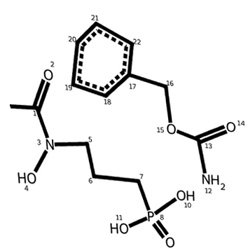 CC(=O)N(O)CCCP(=O)(O)O.NC(=O)OCc1ccccc1